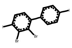 Brc1c(I)ccc(-c2ccc(I)cc2)c1Br